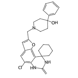 C=C1Nc2c(Cl)cc3cc(CN4CCC(O)(c5ccccc5)CC4)oc3c2C2(CCCCC2)N1